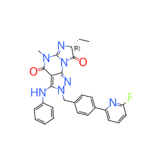 CC[C@H]1N=C2N(C)C(=O)c3c(nn(Cc4ccc(-c5cccc(F)n5)cc4)c3Nc3ccccc3)N2C1=O